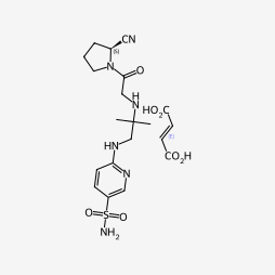 CC(C)(CNc1ccc(S(N)(=O)=O)cn1)NCC(=O)N1CCC[C@H]1C#N.O=C(O)/C=C/C(=O)O